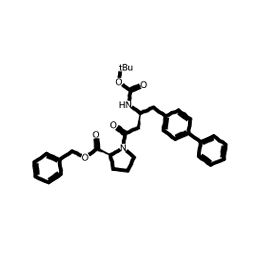 CC(C)(C)OC(=O)N[C@H](CC(=O)N1CCC[C@H]1C(=O)OCc1ccccc1)Cc1ccc(-c2ccccc2)cc1